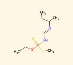 CCOP(=S)(NC=NC(C)CC)SC